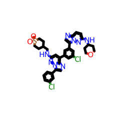 O=S1(=O)CCC(CNc2cc(-c3cc(Cl)cc(-c4cnc5ccc(NC6CCOCC6)nn45)c3)c3ncc(-c4cccc(Cl)c4)n3n2)CC1